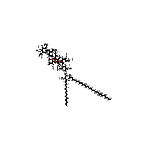 CCCCCCCCCCCCC/C=C/[C@@H](O)[C@H](CO[C@@H]1OC(CO)[C@@H](O[C@@H]2OC(CO)[C@H](O)[C@H](O[C@@H]3OC(CO)[C@@H](O[C@@H]4OC(CO)[C@H](O)[C@H](O[C@H]5OC(CO)[C@H](O)[C@H](O)C5NC(C)=O)C4O[C@H]4OC(C)[C@@H](O)C(O)[C@@H]4O)[C@H](O)C3NC(C)=O)C2O)[C@H](O)C1O)NC(=O)CCCCCCCCCCCCCCCCCCCCCCCCC